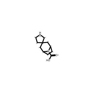 O=C(O)N1C2CCC1CC1(CCNC1)C2